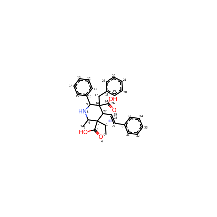 CCC1(C(=O)O)C(C)NC(c2ccccc2)C(Cc2ccccc2)(C(=O)O)C1/C=C/c1ccccc1